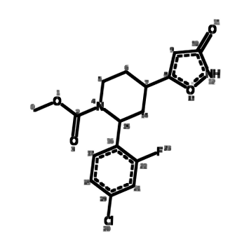 COC(=O)N1CCC(c2cc(=O)[nH]o2)CC1c1ccc(Cl)cc1F